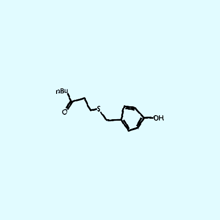 CCCCC(=O)CCSCc1ccc(O)cc1